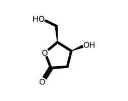 O=C1C[C@H](O)[C@H](CO)O1